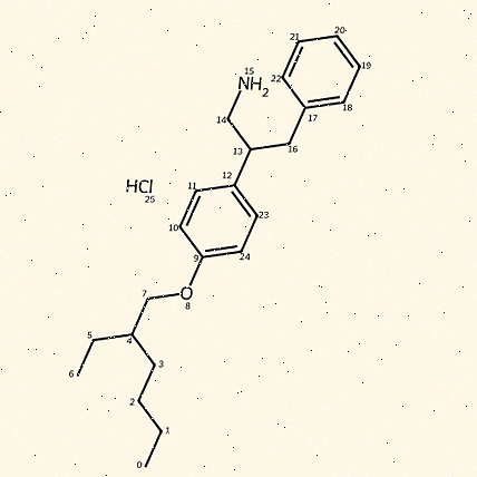 CCCCC(CC)COc1ccc(C(CN)Cc2ccccc2)cc1.Cl